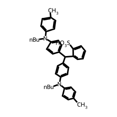 CCCCN(c1ccc(C)cc1)c1ccc(C(c2ccc(N(CCCC)c3ccc(C)cc3)cc2)c2ccccc2S(=O)(=O)O)cc1